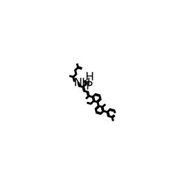 C=C(C)/C=C(\C=C/C)c1cccc(-c2cccc(/C(C)=C/C=C(/CNCC(C)CCC(=C)C)C(=C)PC)c2CC)c1C